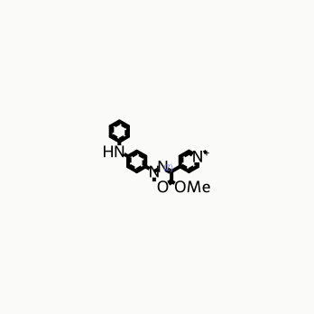 COC(=O)/C(=N\N(C)c1ccc(Nc2ccccc2)cc1)c1cc[n+](C)cc1